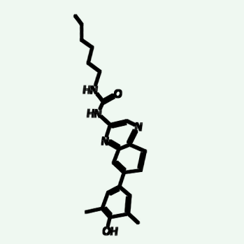 CCCCCCNC(=O)Nc1cnc2ccc(-c3cc(C)c(O)c(C)c3)cc2n1